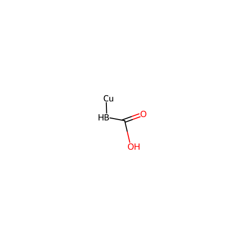 O=C(O)[BH][Cu]